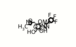 CO[C@@H]1[C@@H](n2cc(-c3cc(F)c(F)c(F)c3)nn2)[C@@H](O)[C@@H](CO)O[C@@H]1Cc1cc(C)no1